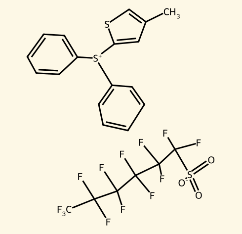 Cc1csc([S+](c2ccccc2)c2ccccc2)c1.O=S(=O)([O-])C(F)(F)C(F)(F)C(F)(F)C(F)(F)C(F)(F)C(F)(F)F